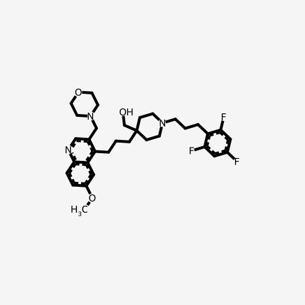 COc1ccc2ncc(CN3CCOCC3)c(CCCC3(CO)CCN(CCCc4c(F)cc(F)cc4F)CC3)c2c1